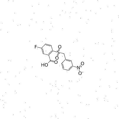 O=C(O)c1cc(F)ccc1S(=O)(=O)Cc1cccc([N+](=O)[O-])c1